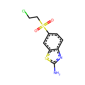 Nc1nc2ccc(S(=O)(=O)CCCl)cc2s1